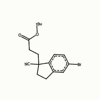 CC(C)(C)OC(=O)CCC1(C#N)CCc2cc(Br)ccc21